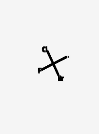 [CH2]C(F)(Cl)Br